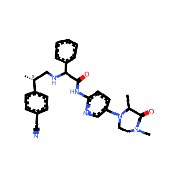 CC1C(=O)N(C)CCN1c1ccc(NC(=O)C(NC[C@@H](C)c2ccc(C#N)cc2)c2ccccc2)nc1